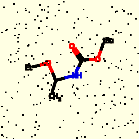 [CH2]C(NC(=O)OC(C)(C)C)OCC